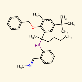 CCCCC(C)(Pc1ccccc1/C=N/C)c1cc(C(C)(C)C)cc(C)c1OCc1ccccc1